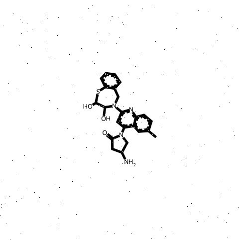 Cc1ccc2nc(N3Cc4ccccc4SC(O)C3O)cc(N3CC(N)CC3=O)c2c1